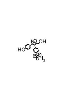 NS(=O)(=O)c1ccc(-c2c(-c3ccc(O)cc3)noc2CO)cc1